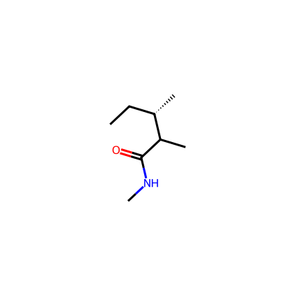 CC[C@H](C)C(C)C(=O)NC